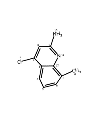 Cc1cccc2c(Cl)cc(N)nc12